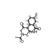 CC(=O)N1CC(=O)c2c([nH]c(=O)c3cc(F)ccc23)C1